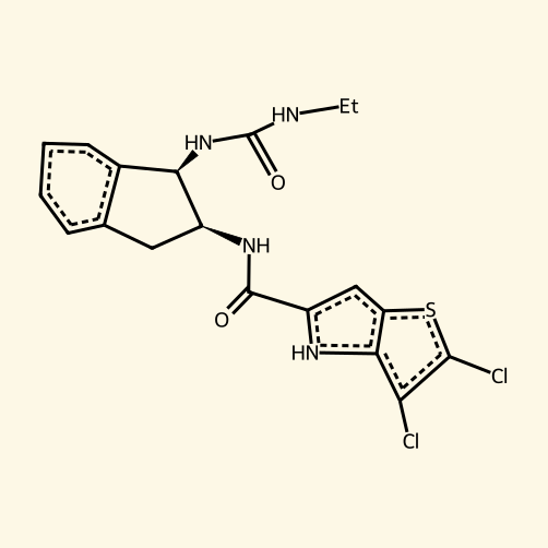 CCNC(=O)N[C@@H]1c2ccccc2C[C@@H]1NC(=O)c1cc2sc(Cl)c(Cl)c2[nH]1